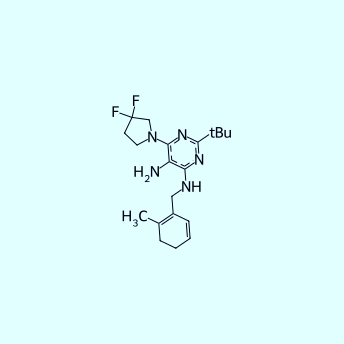 CC1=C(CNc2nc(C(C)(C)C)nc(N3CCC(F)(F)C3)c2N)C=CCC1